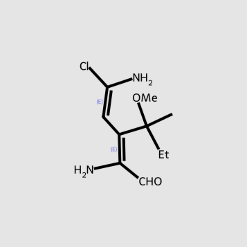 CCC(C)(OC)C(/C=C(\N)Cl)=C(/N)C=O